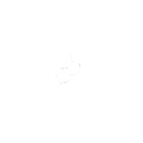 Cc1ccc2c(c1)N(C)C(C)N2C